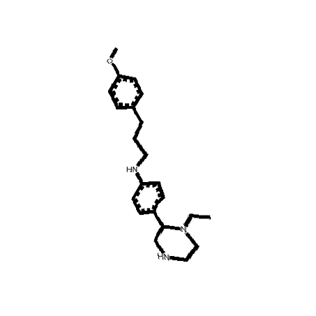 CCN1CCNCC1c1ccc(NCCCc2ccc(OC)cc2)cc1